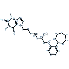 Cn1c(=O)c2c(ncn2CCCNCC(O)COc2ccccc2C2CCCCCC2)n(C)c1=O